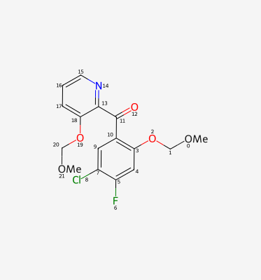 COCOc1cc(F)c(Cl)cc1C(=O)c1ncccc1OCOC